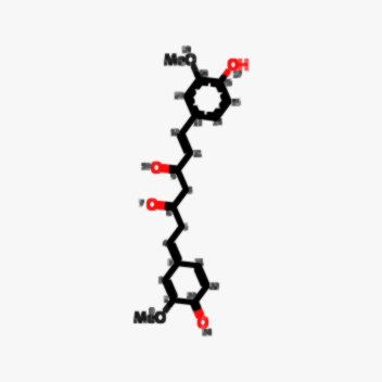 COC1=C/C(=C/CC(=O)CC(=O)/C=C/c2ccc(O)c(OC)c2)C=CC1=O